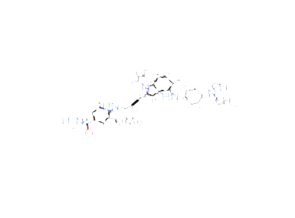 COc1cc(C(N)=O)ccc1NCC#Cc1cc2c(N[C@H]3CC[C@@H](N(C)C)CC3)cccc2n1CC(F)(F)F